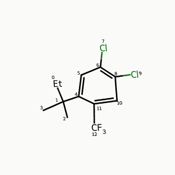 CCC(C)(C)c1cc(Cl)c(Cl)cc1C(F)(F)F